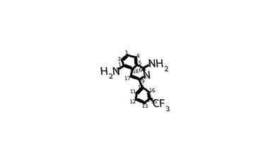 Nc1cccc2c(N)nc(-c3cccc(C(F)(F)F)c3)cc12